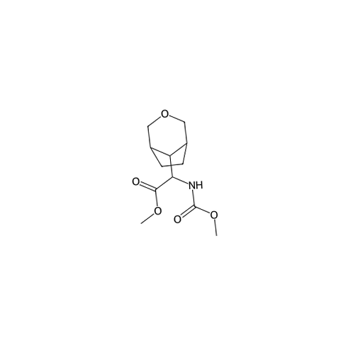 COC(=O)NC(C(=O)OC)C1C2CCC1COC2